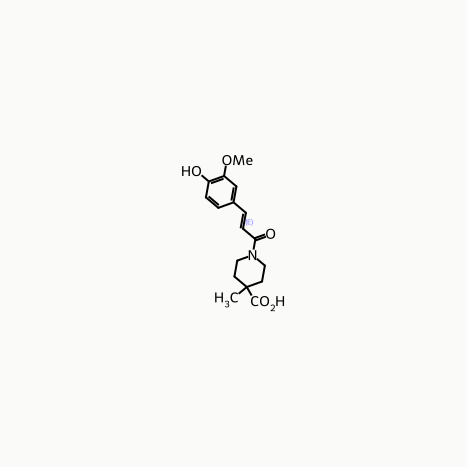 COc1cc(/C=C/C(=O)N2CCC(C)(C(=O)O)CC2)ccc1O